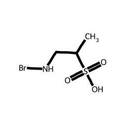 CC(CNBr)S(=O)(=O)O